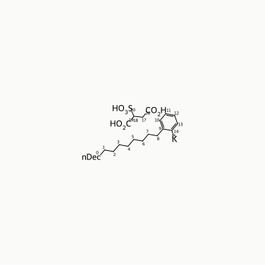 CCCCCCCCCCCCCCCCCCc1cccc[c]1[K].O=C(O)CC(C(=O)O)S(=O)(=O)O